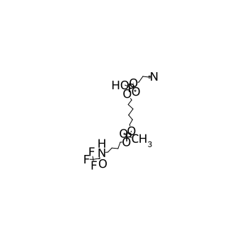 CP(=O)(OCCCCCCOP(=O)(O)OCCC#N)OCCCCNC(=O)C(F)(F)F